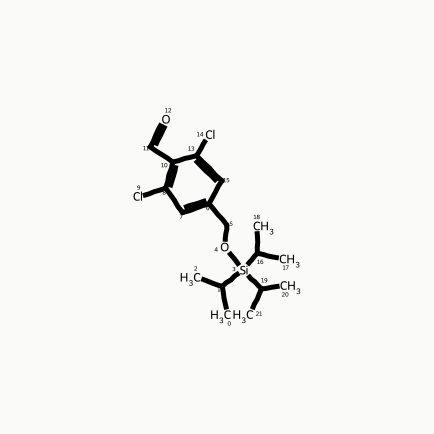 CC(C)[Si](OCc1cc(Cl)c(C=O)c(Cl)c1)(C(C)C)C(C)C